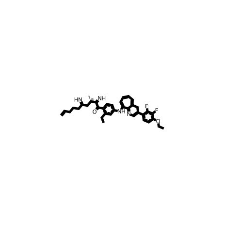 C=CCCCC(=N)C[C@H](C)C(=N)C(=O)c1ccc(NC2=CC=CC=C3CC(c4ccc(OCC)c(F)c4F)=CN=C32)cc1CC